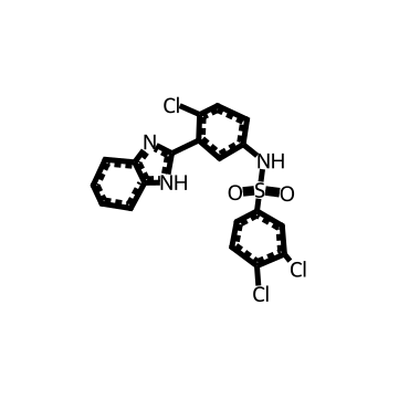 O=S(=O)(Nc1ccc(Cl)c(-c2nc3ccccc3[nH]2)c1)c1ccc(Cl)c(Cl)c1